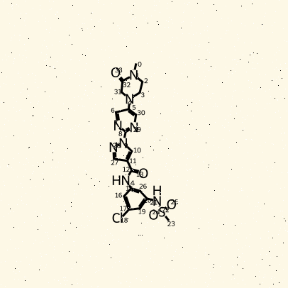 CN1CCN(c2cnc(-n3cc(C(=O)Nc4cc(Cl)cc(NS(C)(=O)=O)c4)cn3)nc2)CC1=O